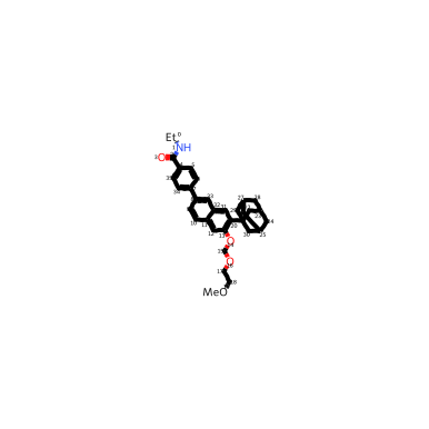 CCNC(=O)c1ccc(-c2ccc3cc(OCOCCOC)c(C45CC6CC(CC(C6)C4)C5)cc3c2)cc1